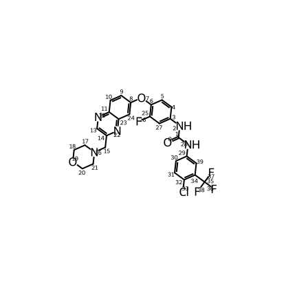 O=C(Nc1ccc(Oc2ccc3ncc(CN4CCOCC4)nc3c2)c(F)c1)Nc1ccc(Cl)c(C(F)(F)F)c1